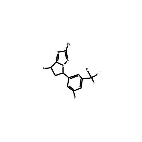 Fc1cc(C2CC(F)c3nc(Br)nn32)cc(C(F)(F)F)c1